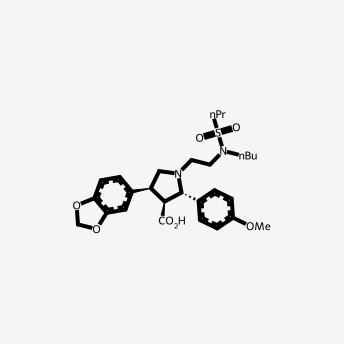 CCCCN(CCN1C[C@H](c2ccc3c(c2)OCO3)[C@H](C(=O)O)[C@H]1c1ccc(OC)cc1)S(=O)(=O)CCC